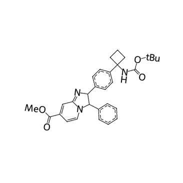 COC(=O)C1=CC2=NC(c3ccc(C4(NC(=O)OC(C)(C)C)CCC4)cc3)C(c3ccccc3)N2C=C1